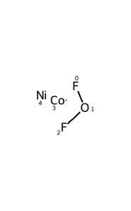 FOF.[Co].[Ni]